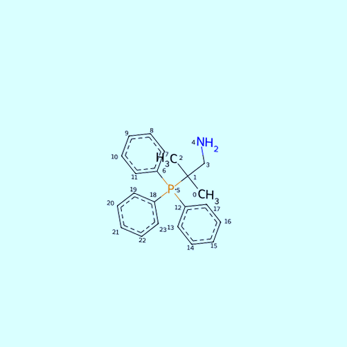 CC(C)(CN)[P](c1ccccc1)(c1ccccc1)c1ccccc1